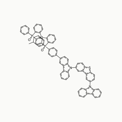 CC1C=C(P(=O)(c2ccc(-c3ccc4c(c3)c3ccccc3n4-c3ccc4sc5ccc(-n6c7ccccc7c7ccccc76)cc5c4c3)cc2)c2ccccc2Oc2ccccc2P(=O)(c2ccccc2)c2ccccc2)C=CC1